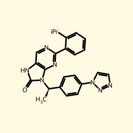 CC(C)c1ccccc1-c1ncc2[nH]c(=O)n([C@H](C)c3ccc(-n4ccnn4)cc3)c2n1